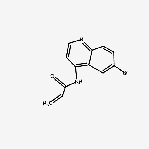 C=CC(=O)Nc1ccnc2ccc(Br)cc12